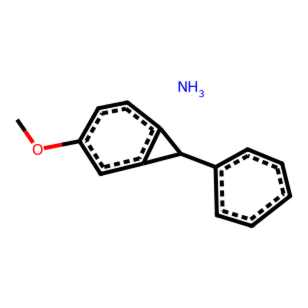 COc1ccc2c(c1)C2c1ccccc1.N